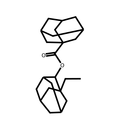 CCC12CC3CC(CC(C3)C1OC(=O)C13CC4CC(CC(C4)C1)C3)C2